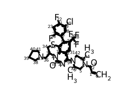 C=CC(=O)N1C[C@H](C)N(c2nc(=O)n3c4c(c(-c5cc(Cl)c(F)cc5F)c(C(F)(F)F)cc24)SCC3CN2CCCC2)C[C@H]1C